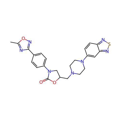 Cc1nc(-c2ccc(N3CC(CN4CCN(c5ccc6nsnc6c5)CC4)OC3=O)cc2)no1